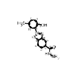 Cc1ccc(O)c(-n2nc3ccc(C(=O)NN)cc3n2)c1